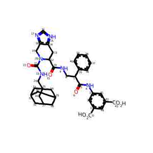 O=C(O)c1cc(NC(=O)C(CNC(=O)C2Cc3[nH]cnc3CN2C(=O)NCC23CC4CC(CC(C4)C2)C3)c2ccccc2)cc(C(=O)O)c1